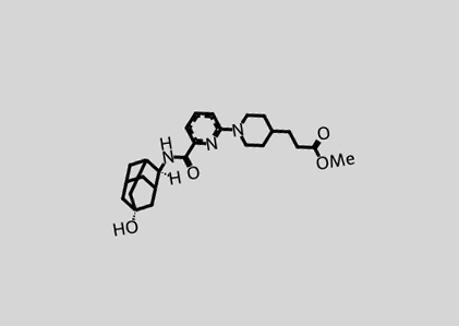 COC(=O)CCC1CCN(c2cccc(C(=O)N[C@H]3C4CC5CC3C[C@](O)(C5)C4)n2)CC1